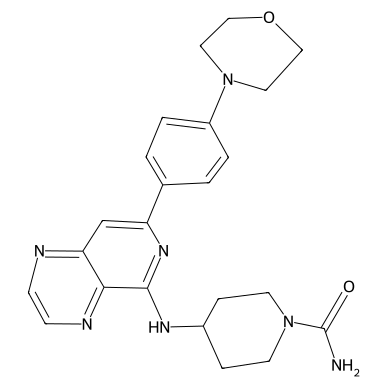 NC(=O)N1CCC(Nc2nc(-c3ccc(N4CCOCC4)cc3)cc3nccnc23)CC1